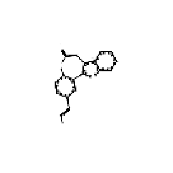 CC(=O)/C=C/c1ccc2c(c1)-c1[nH]c3ccccc3c1CC(=O)N2